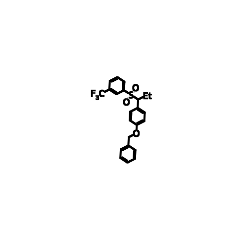 CCC(c1ccc(OCc2ccccc2)cc1)S(=O)(=O)c1cccc(C(F)(F)F)c1